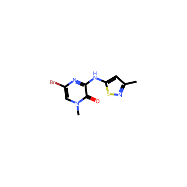 Cc1cc(Nc2nc(Br)cn(C)c2=O)sn1